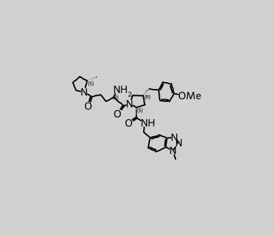 COc1ccc(C[C@@H]2C[C@@H](C(=O)NCc3ccc4c(c3)nnn4C)N(C(=O)[C@H](N)CCC(=O)N3CCC[C@@H]3C)C2)cc1